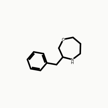 c1ccc(CC2COCCCN2)cc1